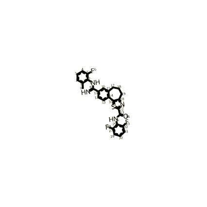 Cc1cccc(F)c1NC(=N)c1ccc2c(c1)CCCc1nc(C(=O)Nc3c(F)cccc3F)sc1-2